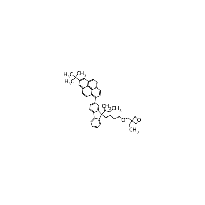 C=C(CC)C1(CCCCOCC2(CC)COC2)c2ccccc2-c2ccc(-c3ccc4ccc5cc(C(C)(C)C)cc6ccc3c4c56)cc21